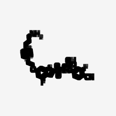 N#Cc1ccc(OP(=O)(O)CNS(=O)(=O)c2cc3c(F)cc(OCC[N+]45CC[N+](CCCN)(CC4)CC5)cc3s2)cc1F